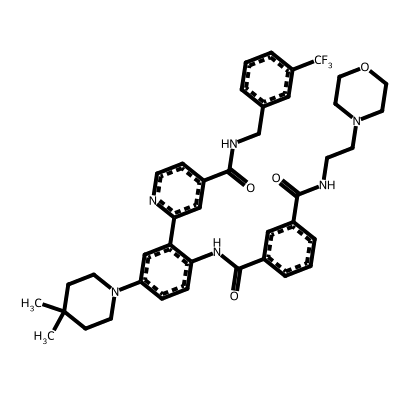 CC1(C)CCN(c2ccc(NC(=O)c3cccc(C(=O)NCCN4CCOCC4)c3)c(-c3cc(C(=O)NCc4cccc(C(F)(F)F)c4)ccn3)c2)CC1